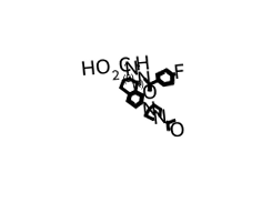 CN(C(=O)O)[C@H]1CCc2ccc(N3CCN(C4COC4)CC3)cc2[C@H]1NC(=O)c1ccc(F)cc1